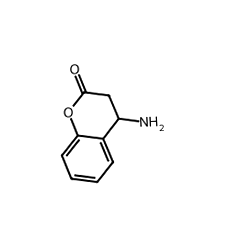 NC1CC(=O)Oc2ccccc21